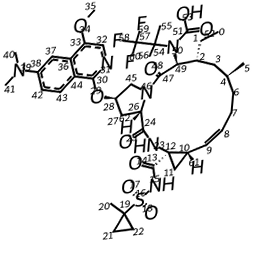 CC[C@@H]1C[C@@H](C)CC/C=C\[C@@H]2C[C@@]2(C(=O)NS(=O)(=O)C2(C)CC2)NC(=O)[C@@H]2C[C@@H](Oc3ncc(OC)c4cc(N(C)C)ccc34)CN2C(=O)[C@H]1N(C(=O)O)C(C)(C)C(F)(F)F